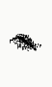 CCc1c(C)c(C(=O)OCc2ccccc2)c(C)c(C)c1OC(=O)c1c(C)cc(OC(=O)c2c(C)c(C)c(OC(=O)c3c(C)cc(OCc4ccccc4)cc3OC)c(Br)c2O)c(C)c1O